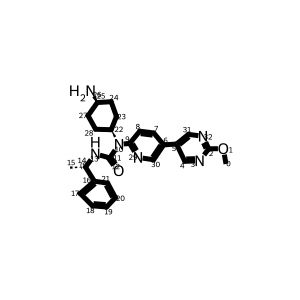 COc1ncc(-c2ccc(N(C(=O)N[C@@H](C)c3ccccc3)[C@H]3CC[C@H](N)CC3)nc2)cn1